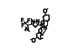 COc1ccc(CN(Cc2ccc(OC)cc2)S(=O)(=O)c2cc(C(N(C)C)C(F)(F)F)n(C)n2)cc1